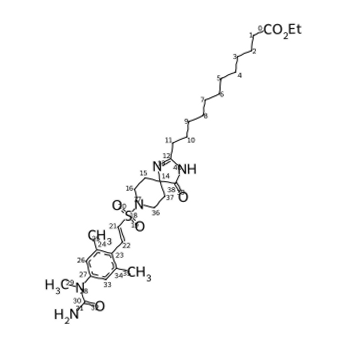 CCOC(=O)CCCCCCCCCCCC1=NC2(CCN(S(=O)(=O)C=Cc3c(C)cc(N(C)C(N)=O)cc3C)CC2)C(=O)N1